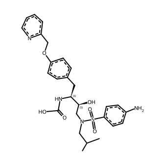 CC(C)CN(C[C@H](O)[C@H](Cc1ccc(OCc2ccccn2)cc1)NC(=O)O)S(=O)(=O)c1ccc(N)cc1